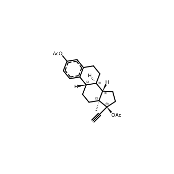 C#C[C@@]1(OC(C)=O)CC[C@H]2[C@@H]3CCc4cc(OC(C)=O)ccc4[C@H]3CC[C@@]21C